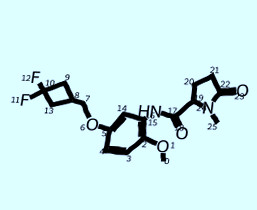 COc1ccc(OCC2CC(F)(F)C2)cc1NC(=O)C1CCC(=O)N1C